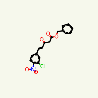 O=C(C=Cc1ccc([N+](=O)[O-])c(Cl)c1)CC(=O)OCc1ccccc1